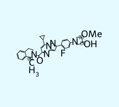 CO[C@H]1CN(c2ccc(-c3cc4nc(C(=O)N5CCc6ccccc6[C@H]5C)cc(C5CC5)n4n3)c(F)c2)C[C@@H]1O